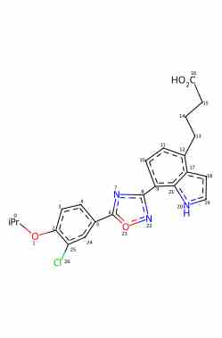 CC(C)Oc1ccc(-c2nc(-c3ccc(CCCC(=O)O)c4cc[nH]c34)no2)cc1Cl